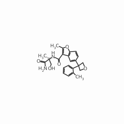 Cc1ccccc1C1(c2ccc3oc(C)c(C(=O)N[C@@](C)(CO)C(N)=O)c3c2)COC1